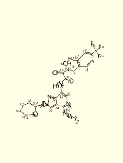 CN(Cc1ccc(C(F)(F)F)cc1F)C(=O)C(=O)Nc1cnc(N)c2cn(C3CCCCO3)nc12